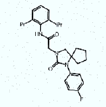 CC(C)c1cccc(C(C)C)c1NC(=O)CN1CC2(CCCC2)N(c2ccc(F)cc2)C1=O